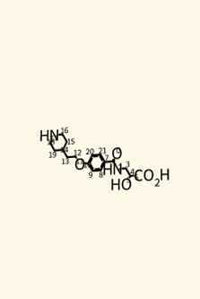 O=C(NCC(O)C(=O)O)c1ccc(OCCC2CCNCC2)cc1